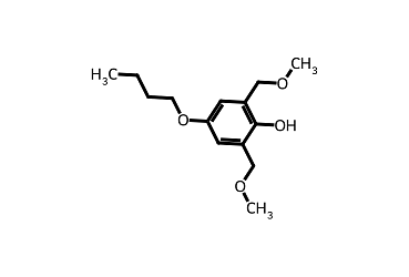 CCCCOc1cc(COC)c(O)c(COC)c1